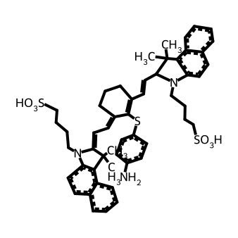 CC1(C)/C(=C\C=C2/CCCC(/C=C/C3N(CCCCS(=O)(=O)O)c4ccc5ccccc5c4C3(C)C)=C2Sc2ccc(N)cc2)N(CCCCS(=O)(=O)O)c2ccc3ccccc3c21